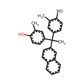 Cc1cc(C(C)(c2ccc(N=O)c(C)c2)c2ccc3ccccc3c2)ccc1O